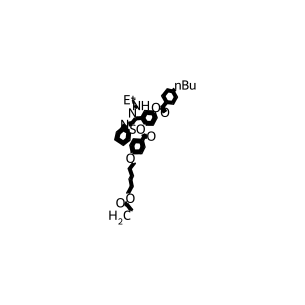 C=CC(=O)OCCCCCCOc1ccc(C(=O)Oc2ccc(OC(=O)C3CCC(CCCC)CC3)cc2C(=NNCC)c2nc3ccccc3s2)cc1